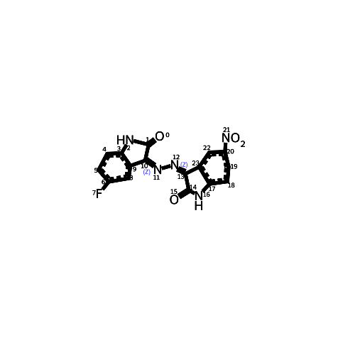 O=C1Nc2ccc(F)cc2/C1=N/N=C1\C(=O)Nc2ccc([N+](=O)[O-])cc21